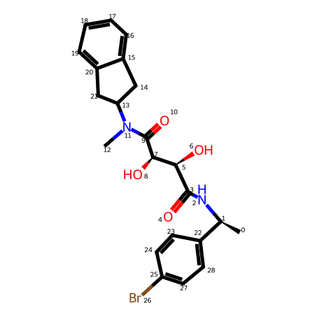 C[C@H](NC(=O)[C@H](O)[C@@H](O)C(=O)N(C)C1Cc2ccccc2C1)c1ccc(Br)cc1